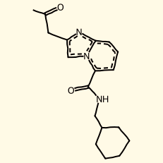 CC(=O)Cc1cn2c(C(=O)NCC3CCCCC3)cccc2n1